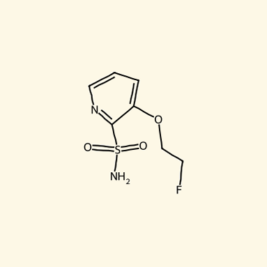 NS(=O)(=O)c1ncccc1OCCF